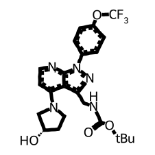 CC(C)(C)OC(=O)NCc1nn(-c2ccc(OC(F)(F)F)cc2)c2nccc(N3CC[C@H](O)C3)c12